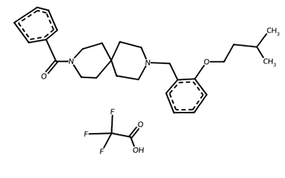 CC(C)CCOc1ccccc1CN1CCC2(CC1)CCN(C(=O)c1ccccc1)CC2.O=C(O)C(F)(F)F